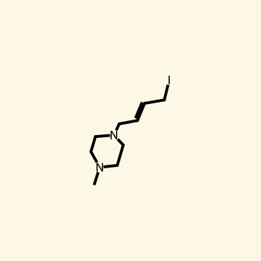 CN1CCN(C/C=C/CI)CC1